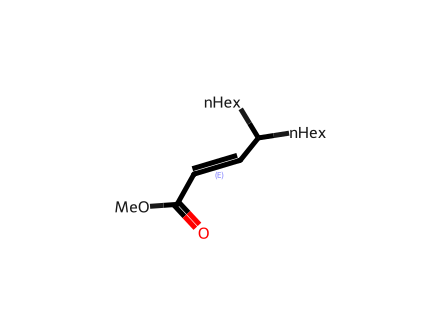 CCCCCCC(/C=C/C(=O)OC)CCCCCC